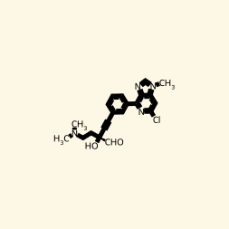 CN(C)CC[C@@](O)(C#Cc1cccc(-c2nc(Cl)cc3c2ncn3C)c1)C=O